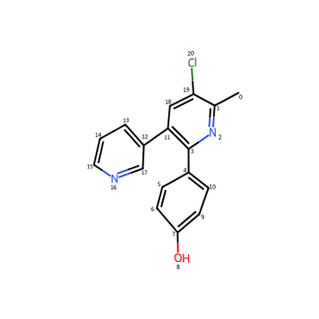 Cc1nc(-c2ccc(O)cc2)c(-c2cccnc2)cc1Cl